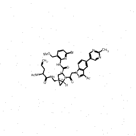 C=CCC(NC(C)=O)C(=O)NC[C@@]12C[C@@H](C(=O)Nc3nc(Br)ccc3COC)N(C(=O)Cn3nc(C(C)=O)c4cc(-c5cnc(C)nc5)ccc43)[C@@H]1C2